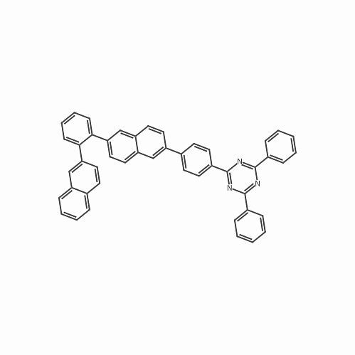 c1ccc(-c2nc(-c3ccccc3)nc(-c3ccc(-c4ccc5cc(-c6ccccc6-c6ccc7ccccc7c6)ccc5c4)cc3)n2)cc1